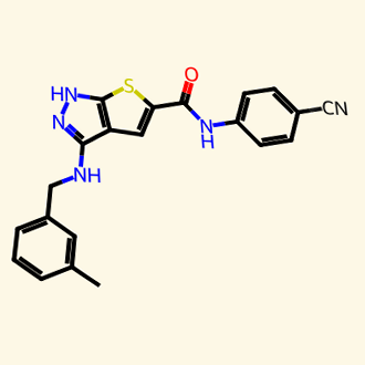 Cc1cccc(CNc2n[nH]c3sc(C(=O)Nc4ccc(C#N)cc4)cc23)c1